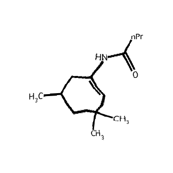 CCCC(=O)NC1=CC(C)(C)CC(C)C1